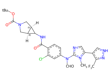 Cn1c(-c2c[nH]nc2C(F)(F)F)cnc1N(C=O)c1ccc(C(=O)NC2[C@H]3CN(C(=O)OC(C)(C)C)C[C@@H]23)c(Cl)c1